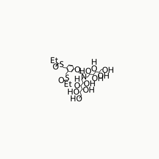 CCC(=O)SCc1ccc(OCCN(C[C@@H](O)[C@@H](O)[C@H](O)[C@H](O)CO)C[C@@H](O)[C@@H](O)[C@H](O)[C@H](O)CO)cc1CSC(=O)CC